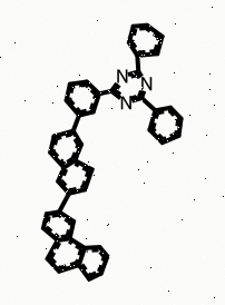 c1ccc(-c2nc(-c3ccccc3)nc(-c3cccc(-c4ccc5cc(-c6ccc7ccc8ccccc8c7c6)ccc5c4)c3)n2)cc1